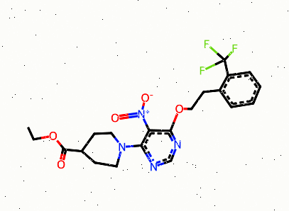 CCOC(=O)C1CCN(c2ncnc(OCCc3ccccc3C(F)(F)F)c2[N+](=O)[O-])CC1